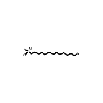 C[Si](Cl)(Cl)CCCCCCCCCCCCCBr